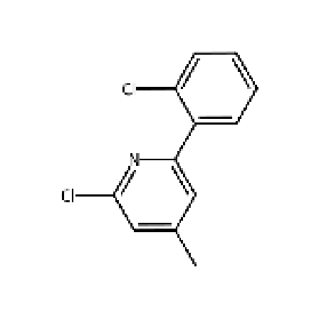 Cc1cc(Cl)nc(-c2ccccc2Cl)c1